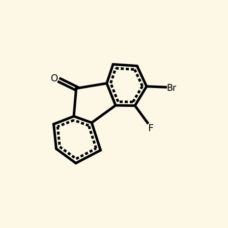 O=C1c2ccccc2-c2c1ccc(Br)c2F